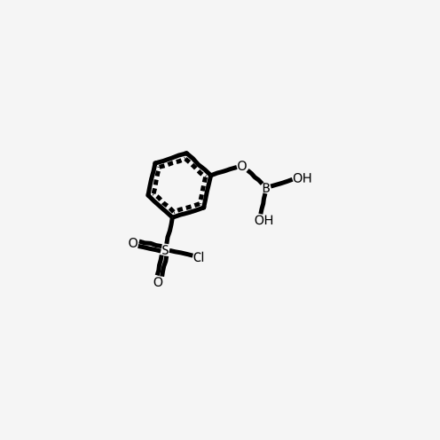 O=S(=O)(Cl)c1cccc(OB(O)O)c1